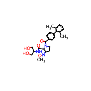 CON=C1CCN(C(=O)c2ccc(-c3c(C)cccc3C)cc2)[C@@H]1C(=O)NC(CO)CO